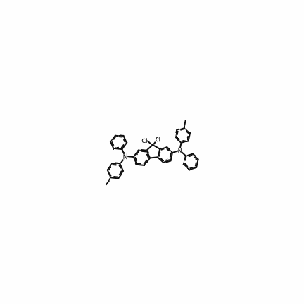 Cc1ccc(N(c2ccccc2)c2ccc3c(c2)C(Cl)(Cl)c2cc(N(c4ccccc4)c4ccc(C)cc4)ccc2-3)cc1